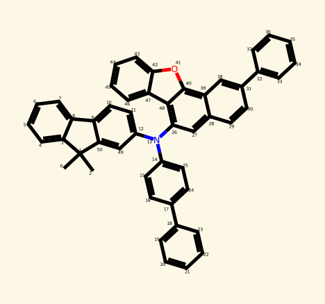 CC1(C)c2ccccc2-c2ccc(N(c3ccc(-c4ccccc4)cc3)c3cc4ccc(-c5ccccc5)cc4c4oc5ccccc5c34)cc21